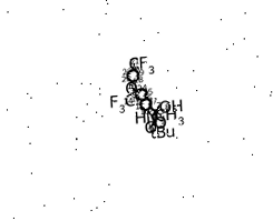 CC(C)(C)OC(=O)N[C@@](C)(CO)c1ccc2c(C(F)(F)F)c(O[C@H]3CC[C@H](C(F)(F)F)CC3)ccc2c1